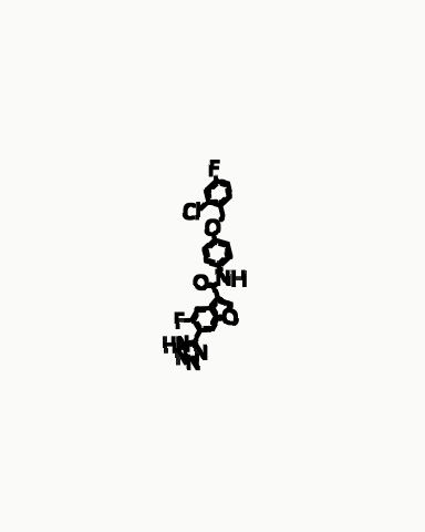 O=C(Nc1ccc(OCc2ccc(F)cc2Cl)cc1)c1coc2cc(-c3nnn[nH]3)c(F)cc12